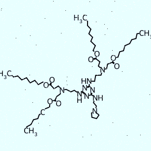 CCCCCCCCCOC(=O)CCN(CCCNc1nc(NCCCN(CCC(=O)OCCCCCCCCC)CCC(=O)OCCCCCCCCC)nc(NCCN2CCCC2)n1)CCC(=O)OCCCCCCCCC